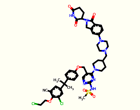 CC(C)(c1ccc(OCc2cnc(NS(C)(=O)=O)nc2N2CCC(CN3CCN(c4ccc5c(c4)CN(C4CCC(=O)NC4=O)C5=O)CC3)CC2)cc1)c1cc(Cl)c(OCCCl)c(C#N)c1